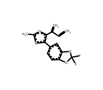 C=CC(=C)c1oc(C)nc1-c1ccc2c(c1)OC(F)(F)O2